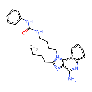 CCCCc1nc2c(N)nc3ccccc3c2n1CCCCNC(=O)Nc1ccccc1